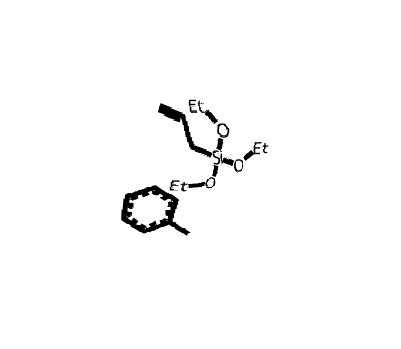 C=CC[Si](OCC)(OCC)OCC.Cc1ccccc1